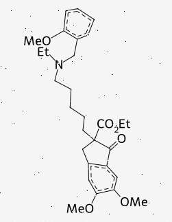 CCOC(=O)C1(CCCCCN(CC)Cc2ccccc2OC)Cc2cc(OC)c(OC)cc2C1=O